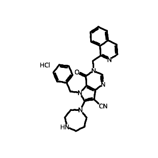 Cl.N#Cc1c(N2CCCNCC2)n(Cc2ccccc2)c2c(=O)n(Cc3nccc4ccccc34)cnc12